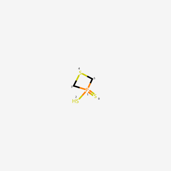 S=P1(S)CSC1